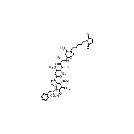 CC[C@H](C)[C@@H]([C@@H](CC(=O)N1CCC[C@H]1[C@H](OC)[C@@H](C)C(=O)N[C@@H](Cc1ccccc1)C(=O)O)OC)N(C)C(=O)[C@@H](NC(=O)CN(C)C(=O)CCCCCN1C(=O)C=CC1=O)C(C)C